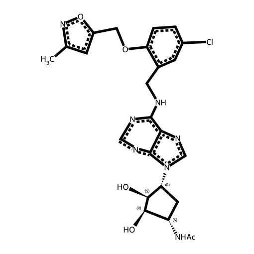 CC(=O)N[C@H]1C[C@@H](n2cnc3c(NCc4cc(Cl)ccc4OCc4cc(C)no4)ncnc32)[C@H](O)[C@@H]1O